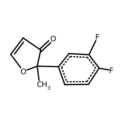 CC1(c2ccc(F)c(F)c2)OC=CC1=O